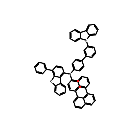 c1ccc(-c2ccc(N(c3ccc(-c4cccc(-n5c6ccccc6c6ccccc65)c4)cc3)c3ccc(-c4cccc5cccc(-c6ccccc6)c45)cc3)c3c2oc2ccccc23)cc1